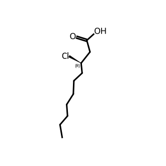 CCCCCCC[C@@H](Cl)CC(=O)O